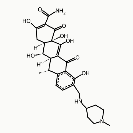 C[C@H]1c2ccc(CNC3CCN(C)CC3)c(O)c2C(=O)C2=C(O)[C@]3(O)C(=O)C(C(N)=O)=C(O)C[C@@H]3[C@@H](O)[C@@H]21